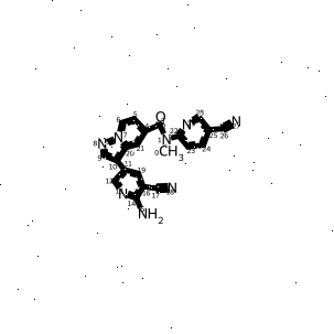 CN(C(=O)c1ccn2ncc(-c3cnc(N)c(C#N)c3)c2c1)c1ccc(C#N)cn1